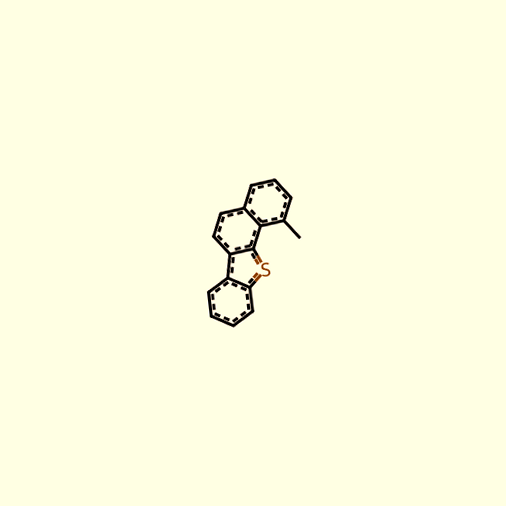 Cc1cccc2ccc3c4ccccc4sc3c12